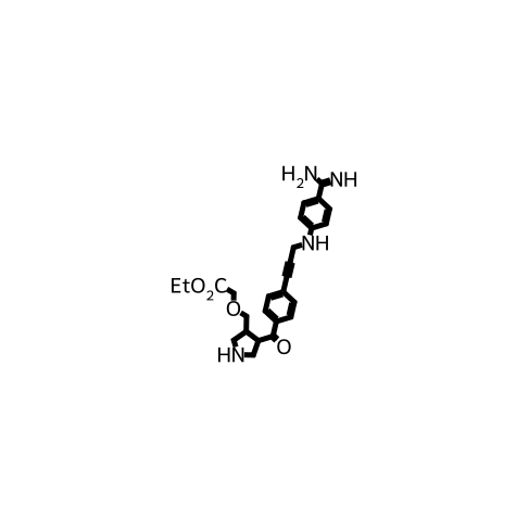 CCOC(=O)COCC1CNCC1C(=O)c1ccc(C#CCNc2ccc(C(=N)N)cc2)cc1